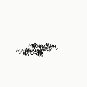 COP1(=O)OCC2OC(n3cnc4c(N)ncnc43)C(O[P@@](=O)(S)OC[C@H]3O[C@@H](n4cnc5c(N)ncnc54)C(F)C3O1)C2O